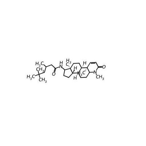 CC(CC(=O)NC1CC[C@H]2[C@@H]3CCC4N(C)C(=O)C=C[C@]4(C)[C@@H]3CC[C@]12C)CC(C)(C)C